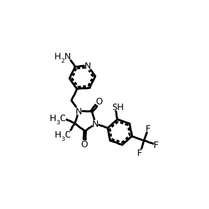 CC1(C)C(=O)N(c2ccc(C(F)(F)F)cc2S)C(=O)N1Cc1ccnc(N)c1